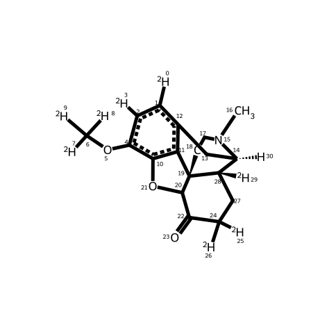 [2H]c1c([2H])c(OC([2H])([2H])[2H])c2c3c1C[C@H]1N(C)CC[C@@]34C(O2)C(=O)C([2H])([2H])C[C@@]14[2H]